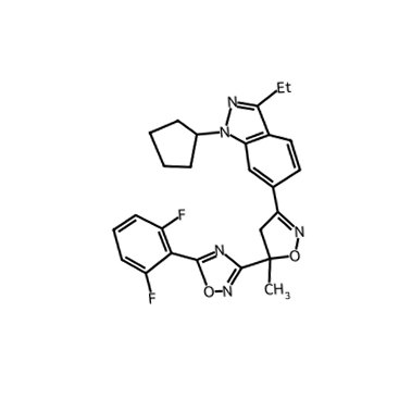 CCc1nn(C2CCCC2)c2cc(C3=NOC(C)(c4noc(-c5c(F)cccc5F)n4)C3)ccc12